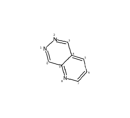 [c]1nncc2cccnc12